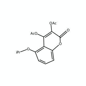 CC(=O)Oc1c(OC(C)=O)c2c(OC(C)C)cccc2oc1=O